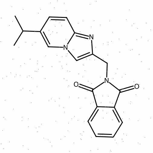 CC(C)c1ccc2nc(CN3C(=O)c4ccccc4C3=O)cn2c1